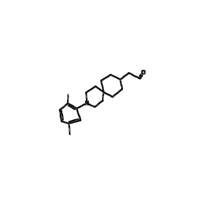 Cc1ccc(C)c(N2CCC3(CCC(CC=O)CC3)CC2)c1